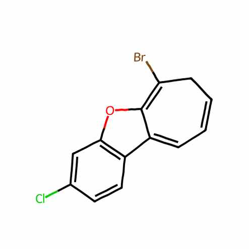 Clc1ccc2c3c(oc2c1)=C(Br)CC=CC=3